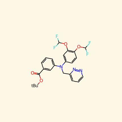 CC(C)(C)OC(=O)c1cccc(N(Cc2cccnn2)c2ccc(OC(F)F)c(OC(F)F)c2)c1